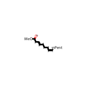 CCCCC/C=C\CCC/C=C/CC(=O)OC